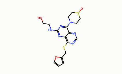 [O-][S+]1CCN(c2nc(NCCO)nc3c(SCc4ccco4)ncnc23)CC1